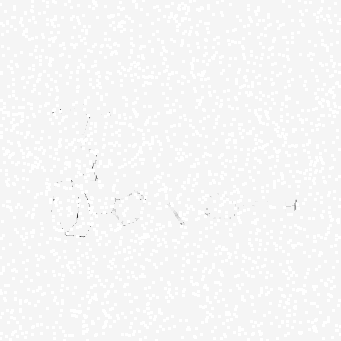 COC(C)OCOc1cc(/C=C/c2ccc(C(=O)O)cc2)ccc1C12CC3CC(CC(C3)C1)C2